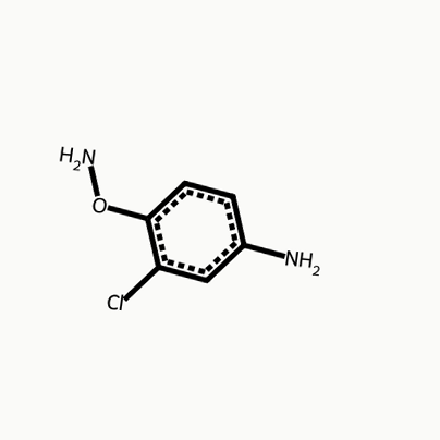 NOc1ccc(N)cc1Cl